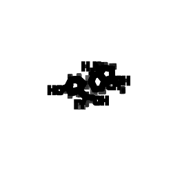 CC[C@@H](CO)c1cc(O)ccc1[C@H]1CC[C@]2(C)C(O)CC[C@@]2(N)C1